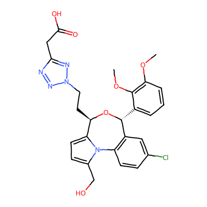 COc1cccc([C@H]2O[C@H](CCn3nnc(CC(=O)O)n3)c3ccc(CO)n3-c3ccc(Cl)cc32)c1OC